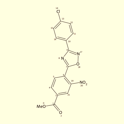 COC(=O)c1ccc(-c2nc(-c3ccc(Cl)cc3)no2)c([N+](=O)[O-])c1